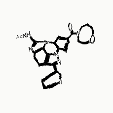 CC(=O)Nc1nc2c(s1)-c1c(c(-c3cccnc3)nn1-c1ccc(C(=O)N3CCCOCC3)cc1Br)CC2